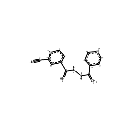 C=C(NNC(=N)c1ccnc(C#N)c1)c1ccncc1